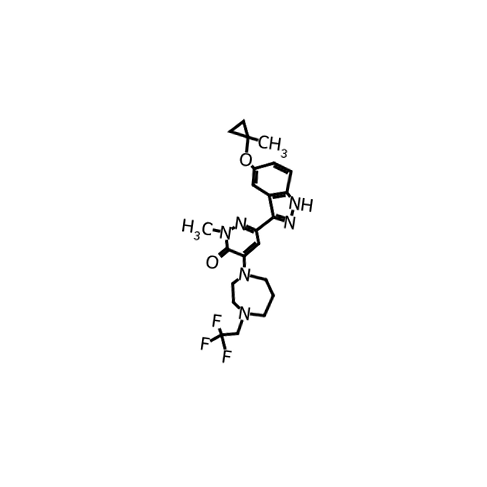 Cn1nc(-c2n[nH]c3ccc(OC4(C)CC4)cc23)cc(N2CCCN(CC(F)(F)F)CC2)c1=O